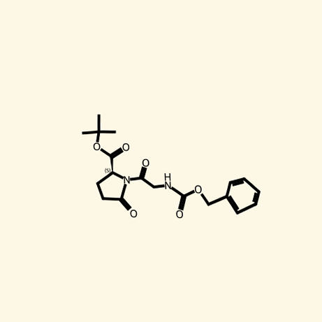 CC(C)(C)OC(=O)[C@@H]1CCC(=O)N1C(=O)CNC(=O)OCc1ccccc1